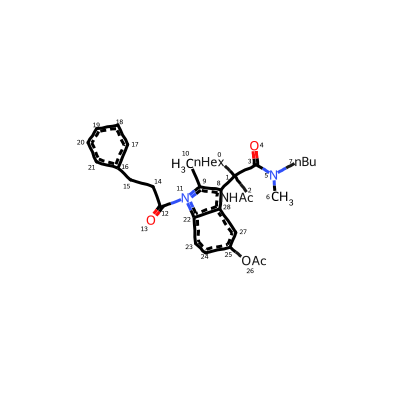 CCCCCCC(NC(C)=O)(C(=O)N(C)CCCC)c1c(C)n(C(=O)CCc2ccccc2)c2ccc(OC(C)=O)cc12